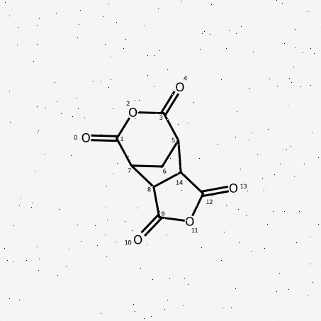 O=C1OC(=O)C2CC1C1C(=O)OC(=O)C21